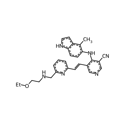 CCOCCNCc1cccc(/C=C/c2cncc(C#N)c2Nc2ccc3[nH]ccc3c2C)n1